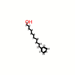 OCCCCCCCCCCCc1[c]cccc1